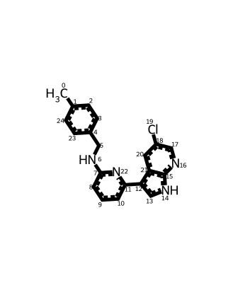 Cc1ccc(CNc2cccc(-c3c[nH]c4ncc(Cl)cc34)n2)cc1